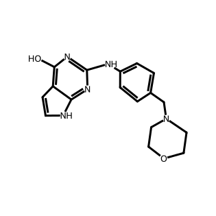 Oc1nc(Nc2ccc(CN3CCOCC3)cc2)nc2[nH]ccc12